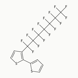 FC(F)(F)C(F)(F)C(F)(F)C(F)(F)C(F)(F)C(F)(F)C(F)(F)c1ccsc1-c1cccs1